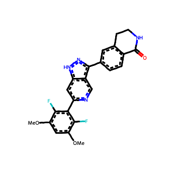 COc1cc(OC)c(F)c(-c2cc3[nH]nc(-c4ccc5c(c4)CCNC5=O)c3cn2)c1F